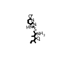 C=C/C(C)=C(OC)\C(C)=C(/N)CSc1nc2nc(OC)ccc2[nH]1